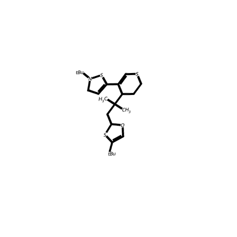 CC(C)(C)C1=COC(CC(C)(C)C2CCSC=C2C2=CCN(C(C)(C)C)S2)S1